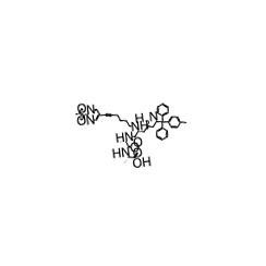 Cc1ccc(C(c2ccccc2)(c2ccccc2)C(N)CCC[C@H](NCCCCC#Cc2cnc(S(C)(=O)=O)nc2)C(=O)N[C@@H](C)C(=O)N[C@@H](C)C(=O)O)cc1